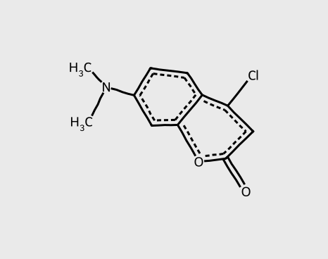 CN(C)c1ccc2c(Cl)cc(=O)oc2c1